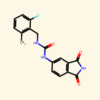 O=C(NCc1c(F)cccc1C(F)(F)F)Nc1ccc2c(c1)C(=O)NC2=O